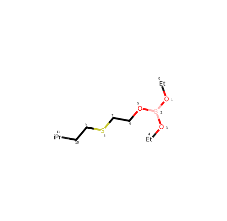 CCOB(OCC)OCCSCCC(C)C